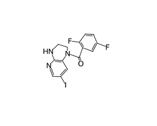 O=C(c1cc(F)ccc1F)N1CCNc2ncc(I)cc21